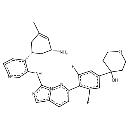 CC1=C[C@H](N)C[C@H](c2ccncc2Nc2ncc3ccc(-c4c(F)cc(C5(O)CCOCC5)cc4F)nn23)C1